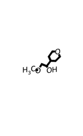 COCC(O)C1CCOCC1